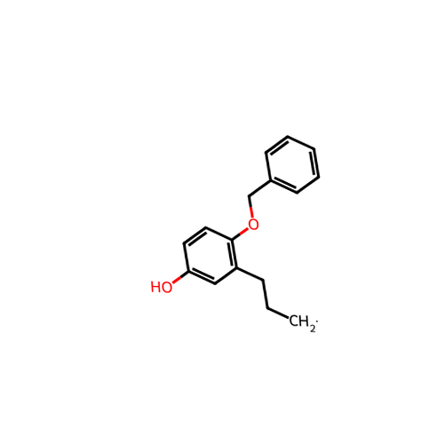 [CH2]CCc1cc(O)ccc1OCc1ccccc1